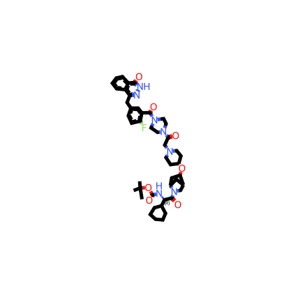 CC(C)(C)OC(=O)N[C@@H](C(=O)N1CC2CC1CC2OC1CCN(CC(=O)N2CCN(C(=O)c3cc(Cc4n[nH]c(=O)c5ccccc45)ccc3F)CC2)CC1)C1CCCCC1